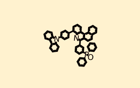 O=P(c1ccccc1)(c1ccccc1)c1cccc(-c2nc3c(-c4ccc(-n5c6ccccc6c6ccccc65)cc4)cccc3c3c2ccc2ccccc23)c1